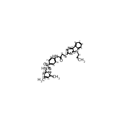 C=CCn1c2ccccc2c2nnc(SCC(=O)Nc3ccc(S(=O)(=O)Nc4nc(C)cc(C)n4)cc3)nc21